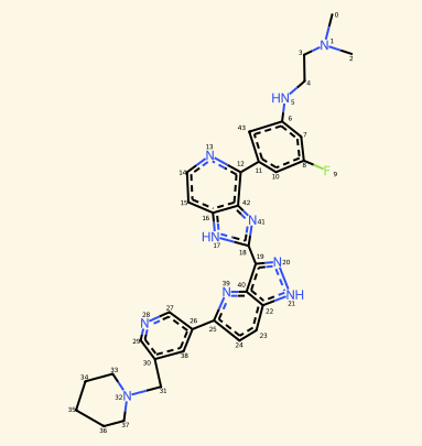 CN(C)CCNc1cc(F)cc(-c2nccc3[nH]c(-c4n[nH]c5ccc(-c6cncc(CN7CCCCC7)c6)nc45)nc23)c1